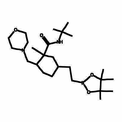 CC(C)(C)NC(=O)C1(C)CC(CCB2OC(C)(C)C(C)(C)O2)CCC1CN1CCOCC1